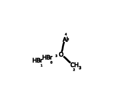 Br.Br.C[O][Al]